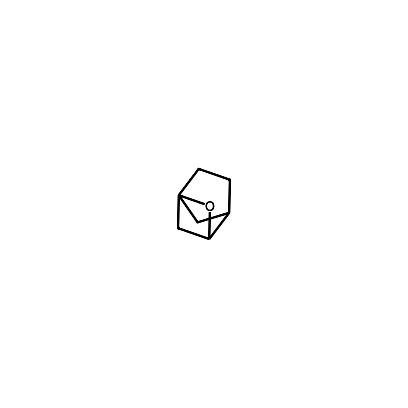 C1CC23CC1C(C2)O3